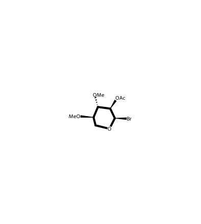 CO[C@@H]1[C@@H](OC(C)=O)[C@@H](Br)OC[C@H]1OC